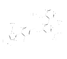 COc1ncnc(C2CC2)c1-c1nc(OCc2cnc(-c3nc(C(F)(F)F)cn3C3CC3)c(F)c2)cc(C(C)O)n1